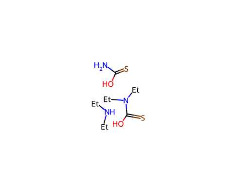 CCN(CC)C(O)=S.CCNCC.NC(O)=S